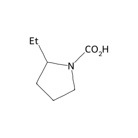 CCC1CCCN1C(=O)O